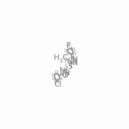 CCn1c(SCc2noc(-c3cccc(Cl)c3)n2)nnc1-c1ccc(F)cc1